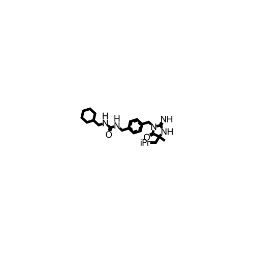 CC(C)CC1(C)NC(=N)N(Cc2ccc(CNC(=O)NCC3CCCCC3)cc2)C1=O